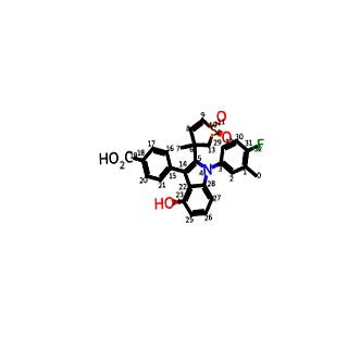 Cc1cc(-n2c(C3(C)C=CS(=O)(=O)C3)c(-c3ccc(C(=O)O)cc3)c3c(O)cccc32)ccc1F